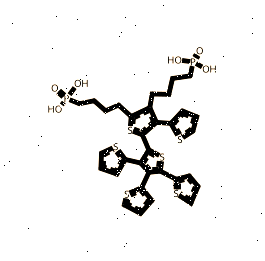 O=P(O)(O)CCCCc1sc(-c2sc(-c3cccs3)c(-c3cccs3)c2-c2cccs2)c(-c2cccs2)c1CCCCP(=O)(O)O